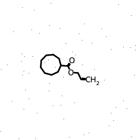 C=CCOC(=O)C1CCCCCCCC1